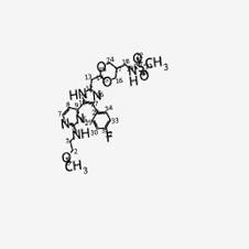 COCCNc1nccc(-c2[nH]c(CC3OCC(CNS(C)(=O)=O)CO3)nc2-c2ccc(F)cc2)n1